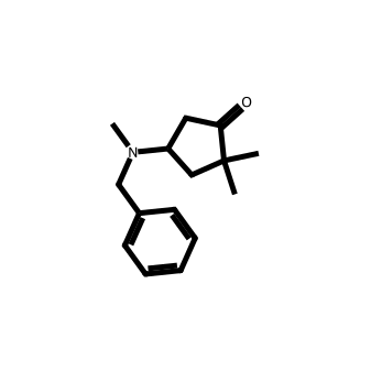 CN(Cc1ccccc1)C1CC(=O)C(C)(C)C1